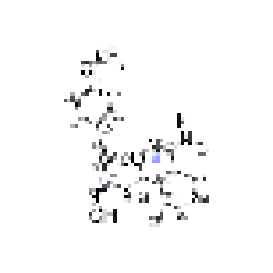 CO/N=C(\C1=C(CC/C(C#Cc2ccc(OC(F)(F)F)cc2)=N\O)C(C)(C)CC=C1)N(C)F